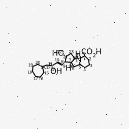 O=C(O)C1CCCC2C[C@@H]3[C@@H](/C=C/[C@H](O)CC4CCCCCC4)[C@H](O)C[C@H]3N21